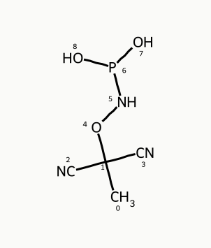 CC(C#N)(C#N)ONP(O)O